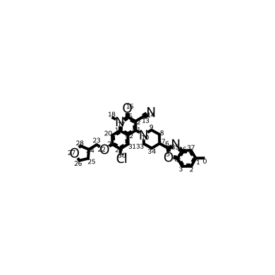 Cc1ccc2oc(C3CCN(c4c(C#N)c(=O)n(C)c5cc(OCC6CCOC6)c(Cl)cc45)CC3)nc2c1